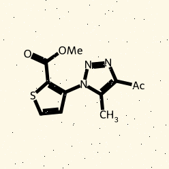 COC(=O)c1sccc1-n1nnc(C(C)=O)c1C